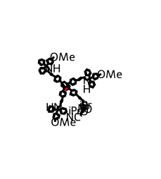 COc1ccc(C(NCC#Cc2ccc(C34CC5(c6ccc(C#CCCOP(=O)(OCCC#N)N(C(C)C)C(C)C)cc6)CC(c6ccc(C#CCNC(c7ccccc7)(c7ccccc7)c7ccc(OC)cc7)cc6)(C3)CC(c3ccc(C#CCNC(c6ccccc6)(c6ccccc6)c6ccc(OC)cc6)cc3)(C5)C4)cc2)(c2ccccc2)c2ccccc2)cc1